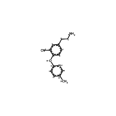 [C-]#[N+]c1cc(CCN)ccc1Oc1ccc(C)cn1